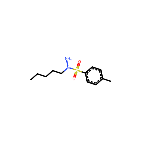 CCCCCN(N)S(=O)(=O)c1ccc(C)cc1